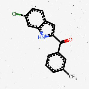 O=C(c1cccc(C(F)(F)F)c1)c1cc2ccc(Cl)cc2[nH]1